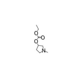 CCOC(=O)OC1CCN(C)C1